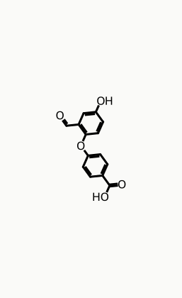 O=Cc1cc(O)ccc1Oc1ccc(C(=O)O)cc1